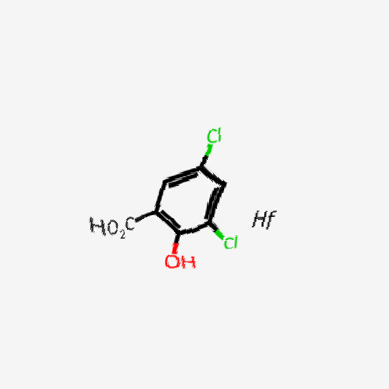 O=C(O)c1cc(Cl)cc(Cl)c1O.[Hf]